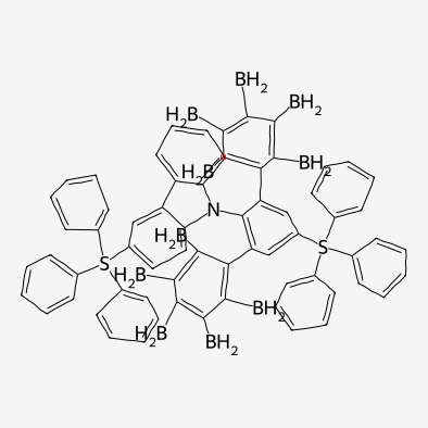 Bc1c(B)c(B)c(-c2cc(S(c3ccccc3)(c3ccccc3)c3ccccc3)cc(-c3c(B)c(B)c(B)c(B)c3B)c2-n2c3ccccc3c3cc(S(c4ccccc4)(c4ccccc4)c4ccccc4)ccc32)c(B)c1B